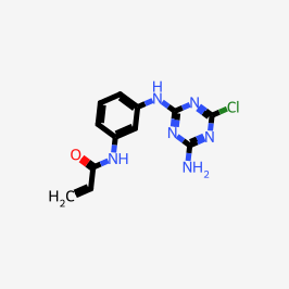 C=CC(=O)Nc1cccc(Nc2nc(N)nc(Cl)n2)c1